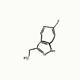 CCc1n[nH]c2cc(F)ccc12